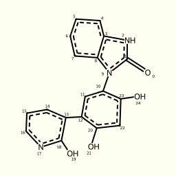 O=c1[nH]c2ccccc2n1-c1cc(-c2cccnc2O)c(O)cc1O